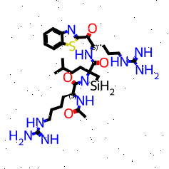 CC(=O)N[C@@H](CCCCNC(=N)N)C(=O)N1[SiH2]CC1(CCC(C)C)C(=O)N[C@@H](CCCNC(=N)N)C(=O)c1nc2ccccc2s1